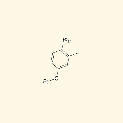 CCOc1ccc(C(C)(C)C)c(C)c1